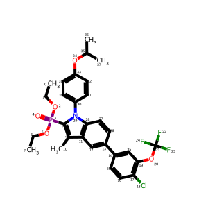 CCOP(=O)(OCC)c1c(C)c2cc(-c3ccc(Cl)c(OC(F)(F)F)c3)ccc2n1-c1ccc(OC(C)C)cc1